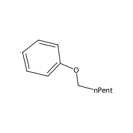 CCCCCCOc1cc[c]cc1